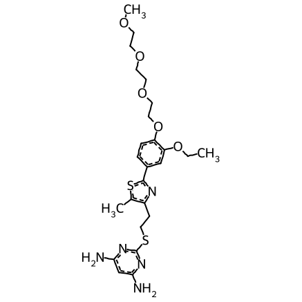 CCOc1cc(-c2nc(CCSc3nc(N)cc(N)n3)c(C)s2)ccc1OCCOCCOCCOC